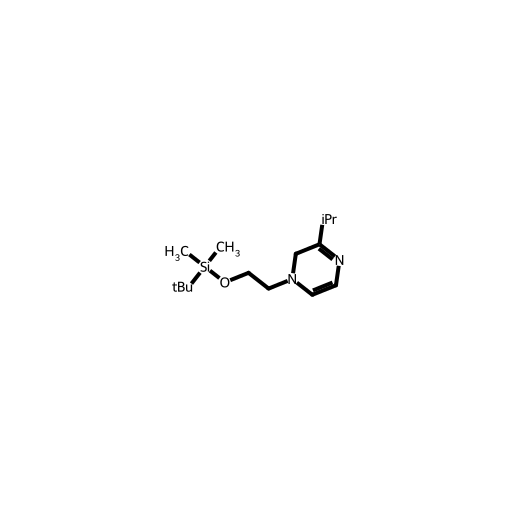 CC(C)C1=NC=CN(CCO[Si](C)(C)C(C)(C)C)C1